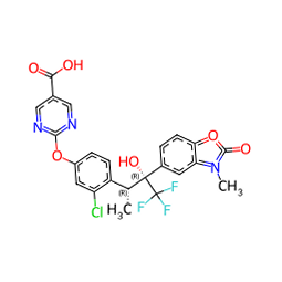 C[C@H](c1ccc(Oc2ncc(C(=O)O)cn2)cc1Cl)[C@@](O)(c1ccc2oc(=O)n(C)c2c1)C(F)(F)F